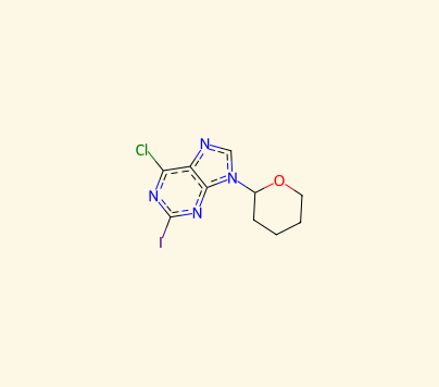 Clc1nc(I)nc2c1ncn2C1CCCCO1